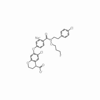 O=C([O-])C1CCOc2cc(Oc3ccc(C(=O)N(CCc4ccc(Cl)cc4)OCCCF)cc3)c(Cl)cc21.[Na+]